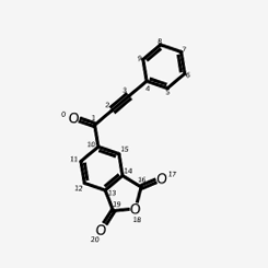 O=C(C#Cc1ccccc1)c1ccc2c(c1)C(=O)OC2=O